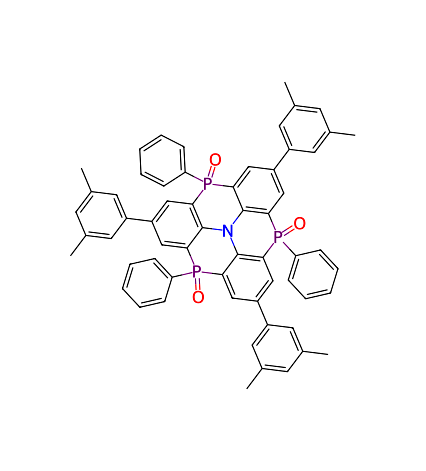 Cc1cc(C)cc(-c2cc3c4c(c2)P(=O)(c2ccccc2)c2cc(-c5cc(C)cc(C)c5)cc5c2N4c2c(cc(-c4cc(C)cc(C)c4)cc2P5(=O)c2ccccc2)P3(=O)c2ccccc2)c1